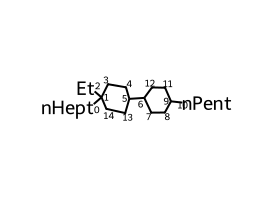 CCCCCCCC1(CC)CCC(C2CCC(CCCCC)CC2)CC1